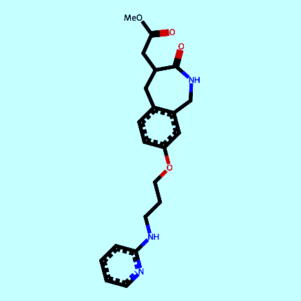 COC(=O)CC1Cc2ccc(OCCCNc3ccccn3)cc2CNC1=O